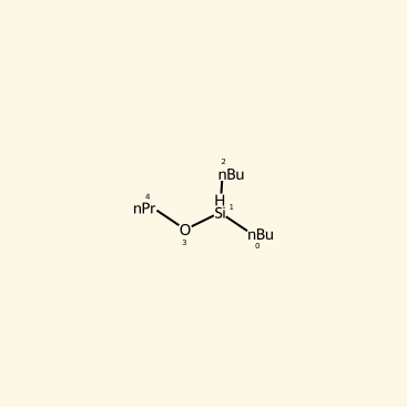 CCCC[SiH](CCCC)OCCC